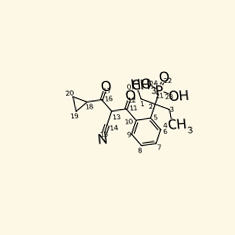 CCC(CC)(c1ccccc1C(=O)C(C#N)C(=O)C1CC1)P(=O)(O)O